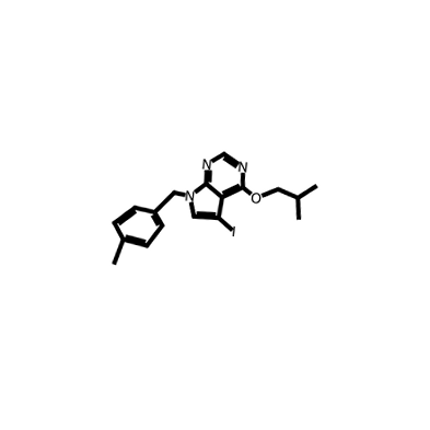 Cc1ccc(Cn2cc(I)c3c(OCC(C)C)ncnc32)cc1